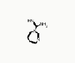 N=C(N)N1C=CC=CN=C1